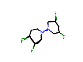 FC1CC(F)CN(N2CCC(F)C(F)C2)C1